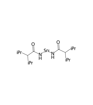 CC(C)C(C(=O)[NH][Sn][NH]C(=O)C(C(C)C)C(C)C)C(C)C